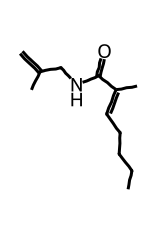 C=C(C)CNC(=O)C(C)=CCCCC